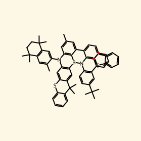 Cc1cc2c3c(c1)N(c1cc4c(cc1C)C(C)(C)CCC4(C)C)c1cc4c(cc1B3N(c1ccc(C(C)(C)C)cc1-c1ccccc1)c1c-2ccc2c1sc1ccccc12)C(C)(C)c1ccccc1S4